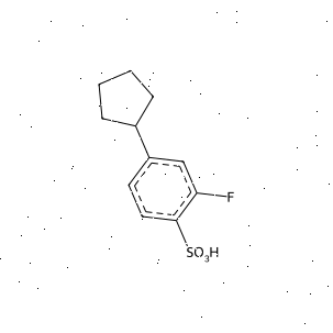 O=S(=O)(O)c1ccc(C2CCCC2)cc1F